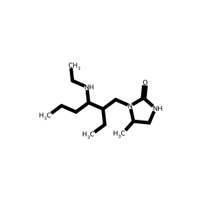 CCCC(NCC)C(CC)CN1C(=O)NCC1C